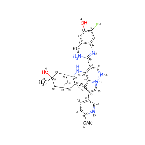 CCc1cc(O)c(F)cc1/N=C(\N)c1cnn2cc(-c3ccc(OC)nc3)cc2c1NC1C(C)CC2CC1CC(C)(O)C2